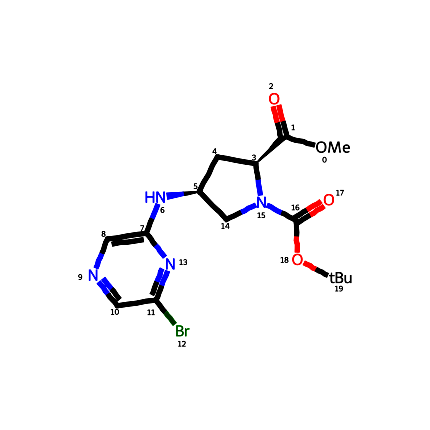 COC(=O)[C@@H]1C[C@H](Nc2cncc(Br)n2)CN1C(=O)OC(C)(C)C